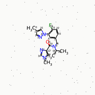 Cc1cnn(-c2cc(CN(C(=O)c3cn(C)cn3)C(C)C)ccc2F)c1